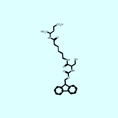 O=C(O)CCC(NC(=O)CCCCCNC(=O)C(CS)NC(=O)OCC1c2ccccc2-c2ccccc21)C(=O)O